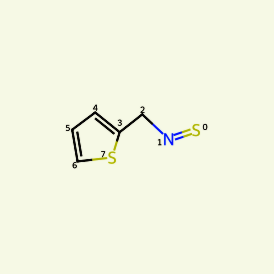 S=NCc1cccs1